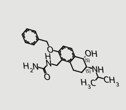 CC(C)N[C@H]1CCc2c(ccc(OCc3ccccc3)c2CNC(N)=O)[C@@H]1O